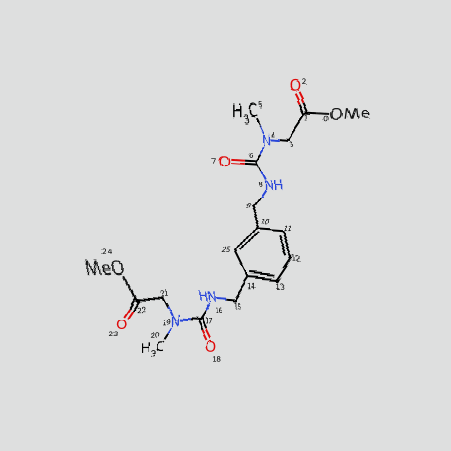 COC(=O)CN(C)C(=O)NCc1cccc(CNC(=O)N(C)CC(=O)OC)c1